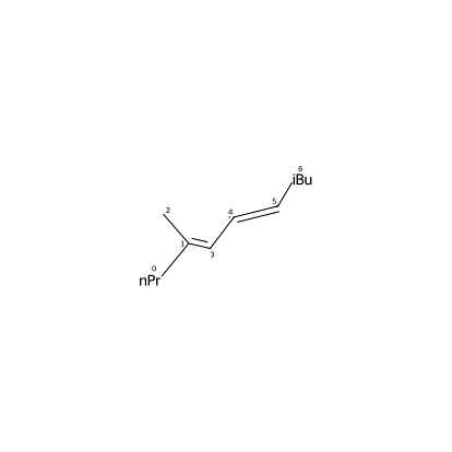 CCCC(C)=C/[C]=C/C(C)CC